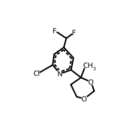 CC1(c2cc(C(F)F)cc(Cl)n2)CCOCO1